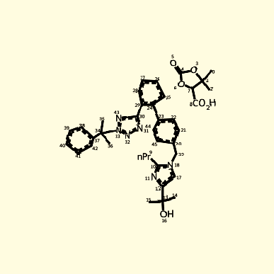 CC1(C)OC(=O)OC1C(=O)O.CCCc1nc(C(C)(C)O)cn1Cc1ccc(-c2ccccc2-c2nnn(C(C)(C)c3ccccc3)n2)cc1